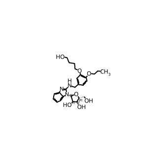 CCCOc1ccc(CNc2nc3ccccc3n2[C@@H]2O[C@H](CO)[C@@H](O)[C@H]2O)cc1OCCCCO